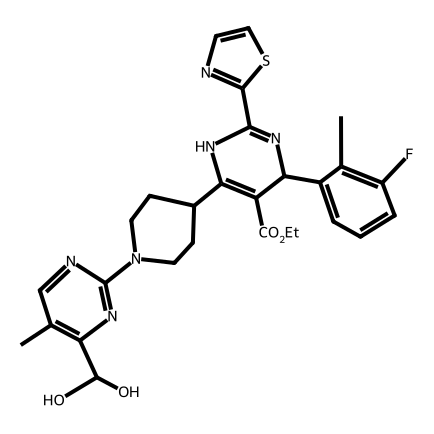 CCOC(=O)C1=C(C2CCN(c3ncc(C)c(C(O)O)n3)CC2)NC(c2nccs2)=NC1c1cccc(F)c1C